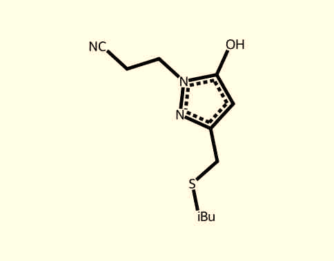 CCC(C)SCc1cc(O)n(CCC#N)n1